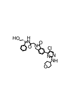 O=C(CN1Cc2ccc(-c3nc(NC4CCOCC4)ncc3Cl)cc2C1=O)N[C@@H](CCO)c1ccccc1